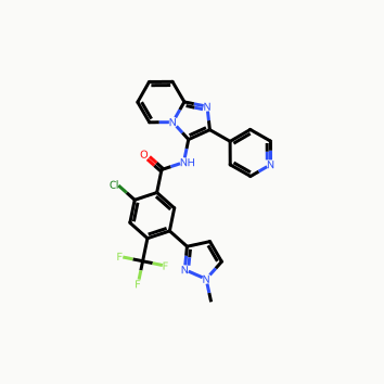 Cn1ccc(-c2cc(C(=O)Nc3c(-c4ccncc4)nc4ccccn34)c(Cl)cc2C(F)(F)F)n1